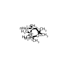 CCCCCC[Si]1(C)CC(C)(C)O[Si](C)(C)[Si]1(C)C